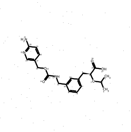 CC(C)O[C@@H](Cc1cccc(CNC(=O)OCc2ccc(N)nc2)c1)C(=O)O